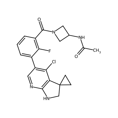 CC(=O)NC1CN(C(=O)c2cccc(-c3cnc4c(c3Cl)C3(CC3)CN4)c2F)C1